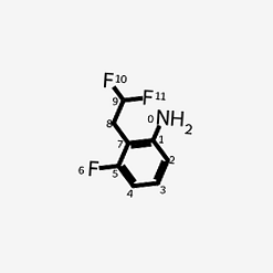 Nc1cccc(F)c1CC(F)F